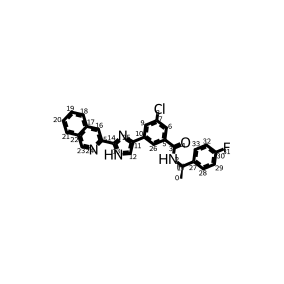 C[C@@H](NC(=O)c1cc(Cl)cc(-c2c[nH]c(-c3cc4ccccc4cn3)n2)c1)c1ccc(F)cc1